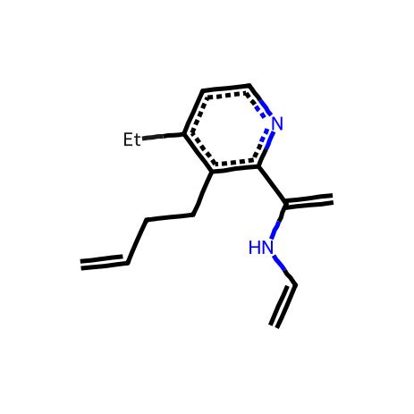 C=CCCc1c(CC)ccnc1C(=C)NC=C